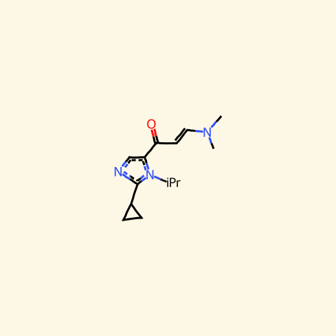 CC(C)n1c(C(=O)C=CN(C)C)cnc1C1CC1